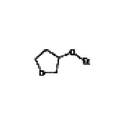 [CH2]COC1CCOC1